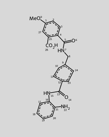 COc1ccc(C(=O)NCc2ccc(C(=O)Nc3ccccc3N)cc2)c(C(=O)O)c1